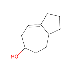 OC1CC=C2CCCC2CC1